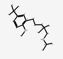 COc1ccc(C(C)(C)C)cc1CCCC(C)(C)COC(C)C